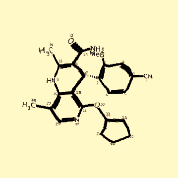 COc1cc(C#N)ccc1[C@H]1C(C(N)=O)=C(C)Nc2c(C)cnc(OC3CCCC3)c21